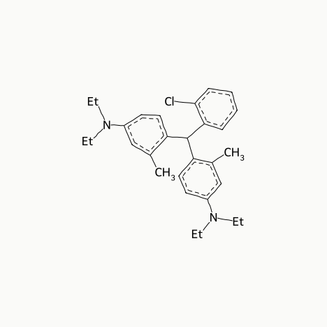 CCN(CC)c1ccc(C(c2ccc(N(CC)CC)cc2C)c2ccccc2Cl)c(C)c1